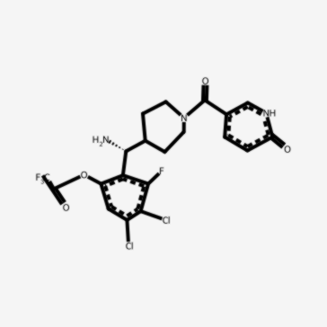 N[C@@H](c1c(OC(=O)C(F)(F)F)cc(Cl)c(Cl)c1F)C1CCN(C(=O)c2ccc(=O)[nH]c2)CC1